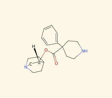 O=C(O[C@H]1CN2CCC1CC2)C1(c2ccccc2)CCNCC1